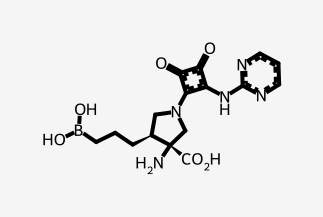 N[C@@]1(C(=O)O)CN(c2c(Nc3ncccn3)c(=O)c2=O)C[C@@H]1CCCB(O)O